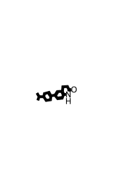 CC(C)C1CC=C(c2ccc3c(c2)CCC(=O)N3)CC1